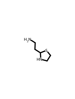 NCCC1NCCS1